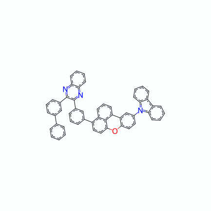 c1ccc(-c2cccc(-c3nc4ccccc4nc3-c3cccc(-c4ccc5c6c(cccc46)-c4cc(-n6c7ccccc7c7ccccc76)ccc4O5)c3)c2)cc1